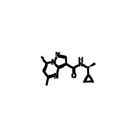 Cc1cc(C)n2ncc(C(=O)N[C@@H](C)C3CC3)c2n1